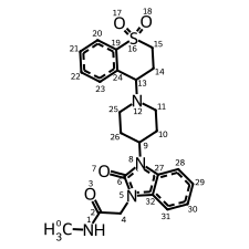 CNC(=O)Cn1c(=O)n(C2CCN(C3CCS(=O)(=O)c4ccccc43)CC2)c2ccccc21